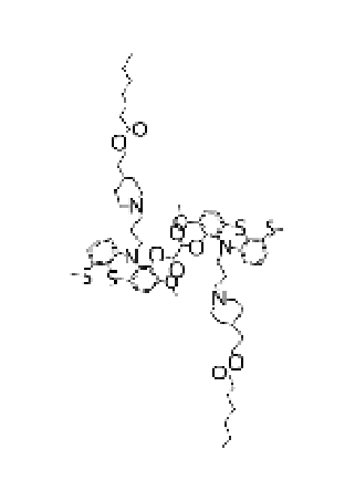 CCCCCCC(=O)OCCC1CCN(CCCN2c3cccc(SC)c3Sc3ccc(OC)c(OC(=O)C(=O)Oc4c(OC)ccc5c4N(CCCN4CCC(CCOC(=O)CCCCCC)CC4)c4cccc(SC)c4S5)c32)CC1